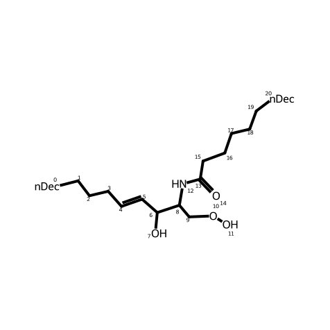 CCCCCCCCCCCCCC=CC(O)C(COO)NC(=O)CCCCCCCCCCCCCCC